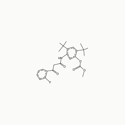 COC(=O)Oc1cc(NC(=O)CC(=O)c2ccccc2F)c(C(C)(C)C)cc1C(C)(C)C